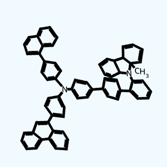 CC12C=CC=CC1C1C=CC=CC1N2c1ccccc1-c1ccc(-c2ccc(N(c3ccc(-c4cccc5ccccc45)cc3)c3ccc(-c4cc5ccccc5c5ccccc45)cc3)cc2)cc1